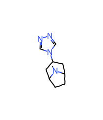 CN1C2CCC1CC(n1cnnc1)C2